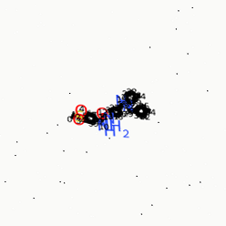 CCS(=O)(=O)c1ccc(C(N)C(=O)Nc2ccc(-c3nc4ccc(C)cc4n3[C@@H](C)c3ccc(C)cc3)cc2)cc1